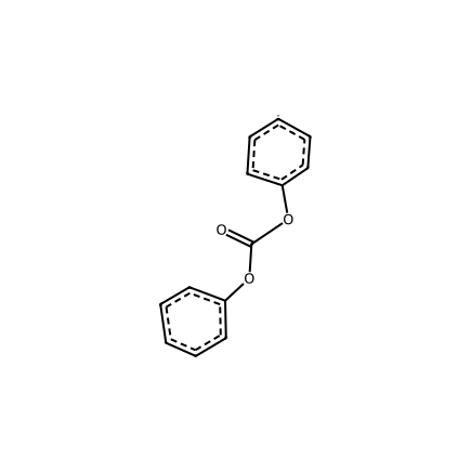 O=C(Oc1cc[c]cc1)Oc1ccccc1